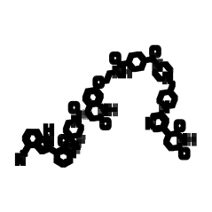 N#Cc1cccc2[nH]c(-c3ccccc3OC3(C(F)(F)F)CCN(C(=O)[C@H]4CC(=O)Nc5cc(OCCNC(=O)C6CCC(C(=O)N7CCN(CC8CCN(c9cncc(C%10CCC(=O)NC%10=O)c9)CC8)CC7)CC6)ccc54)CC3)cc12